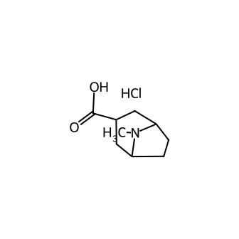 CN1C2CCC1CC(C(=O)O)C2.Cl